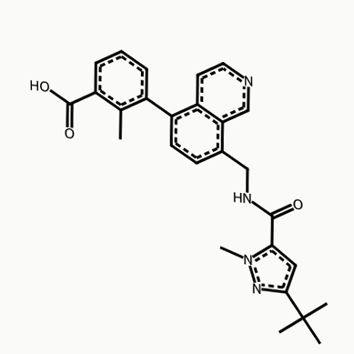 Cc1c(C(=O)O)cccc1-c1ccc(CNC(=O)c2cc(C(C)(C)C)nn2C)c2cnccc12